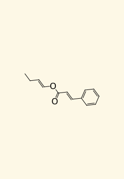 CCC=COC(=O)C=Cc1ccccc1